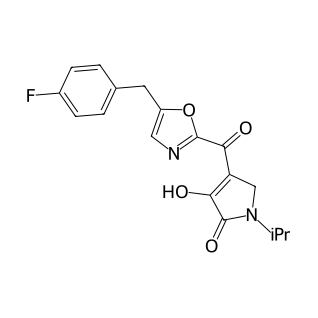 CC(C)N1CC(C(=O)c2ncc(Cc3ccc(F)cc3)o2)=C(O)C1=O